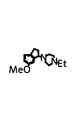 CCN1CCN(C2CCc3ccc(OC)cc32)CC1